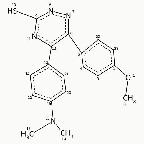 COc1ccc(-c2nnc(S)nc2-c2ccc(N(C)C)cc2)cc1